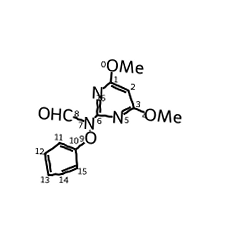 COc1cc(OC)nc(N(C=O)Oc2ccccc2)n1